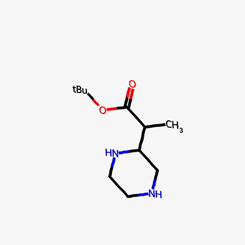 CC(C(=O)OC(C)(C)C)C1CNCCN1